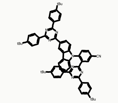 CC(C)(C)c1ccc(-c2nc(-c3ccc(C(C)(C)C)cc3)nc(-c3ccc4c(c3)c3ccccc3n4-c3ccc(C#N)cc3-c3nc(-c4ccc(C(C)(C)C)cc4)nc(-c4ccc(C(C)(C)C)cc4)n3)n2)cc1